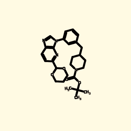 CC(C)(C)OC(=O)N1CCC(Cc2cccc(-n3cnc4ccc(C5OCCCO5)nc43)c2)CC1